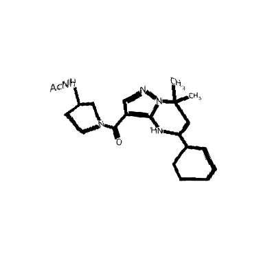 CC(=O)NC1CCN(C(=O)c2cnn3c2NC(C2CCCCC2)CC3(C)C)C1